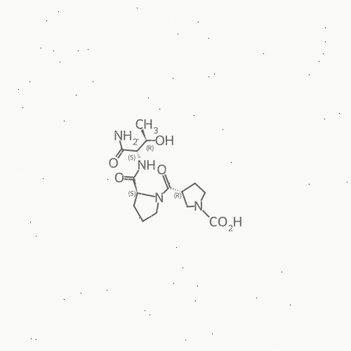 C[C@@H](O)[C@H](NC(=O)[C@@H]1CCCN1C(=O)[C@@H]1CCN(C(=O)O)C1)C(N)=O